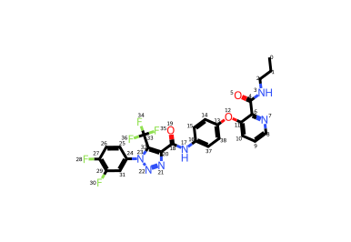 CCCNC(=O)c1ncccc1Oc1ccc(NC(=O)c2nnn(-c3ccc(F)c(F)c3)c2C(F)(F)F)cc1